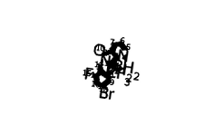 BC1(B)c2ncccc2C(=O)N1Cc1c(F)cc(Br)cc1C(F)(F)F